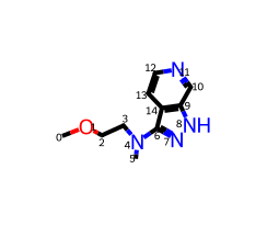 COCCN(C)c1n[nH]c2cnccc12